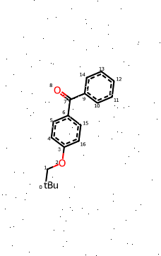 CC(C)(C)COc1ccc(C(=O)c2ccccc2)cc1